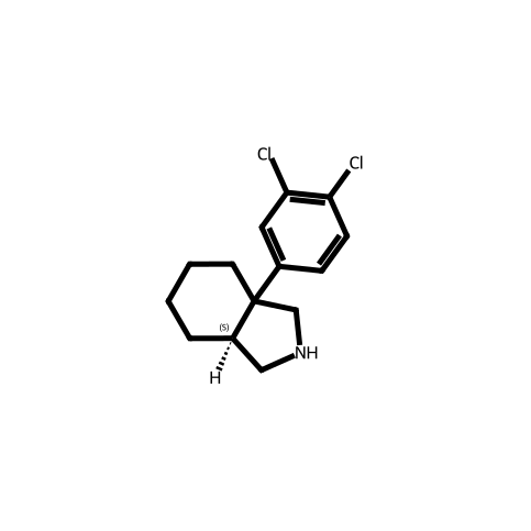 Clc1ccc(C23CCCC[C@@H]2CNC3)cc1Cl